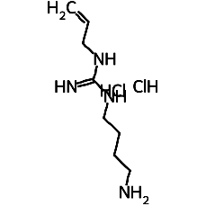 C=CCNC(=N)NCCCCN.Cl.Cl